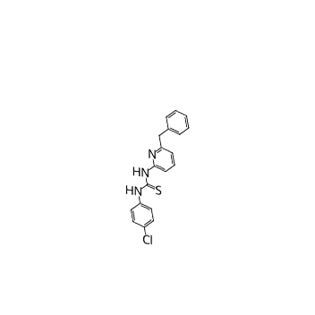 S=C(Nc1ccc(Cl)cc1)Nc1cccc(Cc2ccccc2)n1